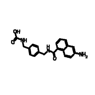 Nc1ccc2c(C(=O)NCc3ccc(CNC(=O)O)cc3)cccc2c1